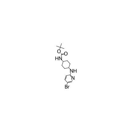 CC(C)(C)OC(=O)NC1CCC(Nc2ccc(Br)cn2)CC1